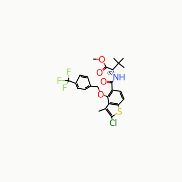 COC(=O)[C@@H](NC(=O)c1ccc2sc(Cl)c(C)c2c1OCc1ccc(C(F)(F)F)cc1)C(C)(C)C